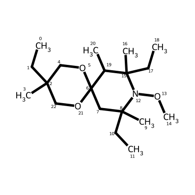 CCC1(C)COC2(CC(C)(CC)N(OC)C(C)(CC)C2C)OC1